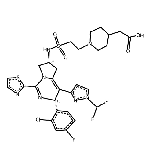 O=C(O)CC1CCN(CCS(=O)(=O)N[C@H]2CC3=C(c4ccn(C(F)F)n4)[C@H](c4ccc(F)cc4Cl)N=C(c4nccs4)N3C2)CC1